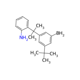 Bc1cc(C(C)(C)C)cc(C(C)(C)c2ccccc2N)c1